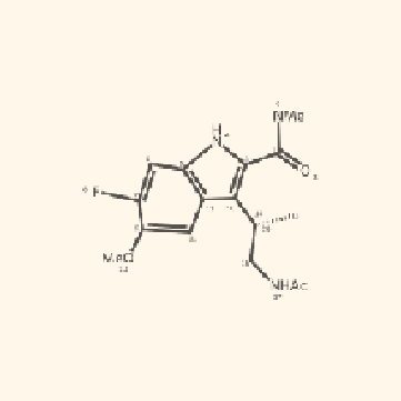 CNC(=O)c1[nH]c2cc(F)c(OC)cc2c1[C@H](C)CNC(C)=O